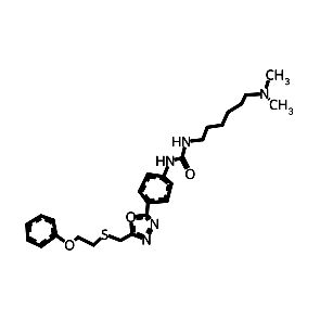 CN(C)CCCCCCNC(=O)Nc1ccc(-c2nnc(CSCCOc3ccccc3)o2)cc1